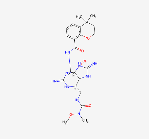 CON(C)C(=O)NC[C@@H]1NC(=N)N2CC(NC(=O)c3cccc4c3OCCC4(C)C)[C@@H](O)C23NC(=N)NC13